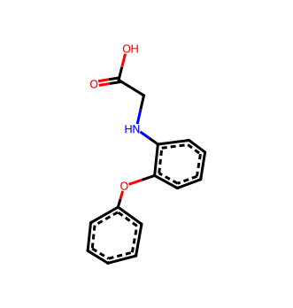 O=C(O)CNc1ccccc1Oc1ccccc1